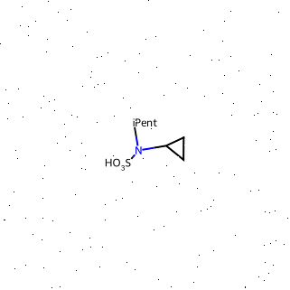 CCCC(C)N(C1CC1)S(=O)(=O)O